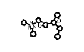 c1ccc(-c2cccc(-c3cc(-c4ccc5oc6c(-c7nc(-c8ccccc8)nc(-c8ccccc8)n7)cccc6c5c4)cc4c3oc3ccccc34)c2)cc1